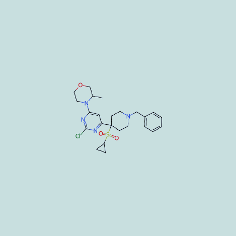 CC1COCCN1c1cc(C2(S(=O)(=O)C3CC3)CCN(Cc3ccccc3)CC2)nc(Cl)n1